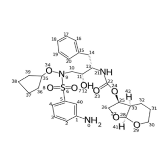 Nc1cccc(S(=O)(=O)N(C[C@@H](O)[C@H](Cc2ccccc2)NC(=O)O[C@@H]2CO[C@@H]3OCCC[C@@H]32)OC2CCCC2)c1